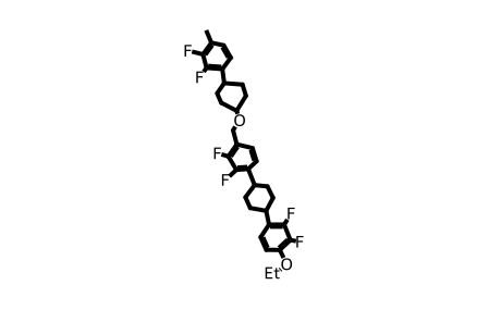 CCOc1ccc(C2CCC(c3ccc(COC4CCC(c5ccc(C)c(F)c5F)CC4)c(F)c3F)CC2)c(F)c1F